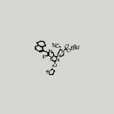 CN1CCC[C@H]1COc1nc(N2CCN(C(=O)OC(C)(C)C)[C@@H](CC#N)C2)c2cnc(-c3cccc4c3CCCC4)c(F)c2n1